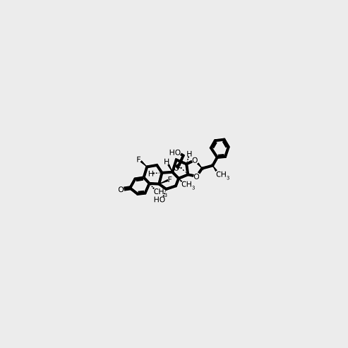 C[C@H](c1ccccc1)[C@@H]1O[C@@H]2C[C@H]3[C@@H]4C[C@H](F)C5=CC(=O)C=C[C@]5(C)[C@@]4(F)[C@@H](O)C[C@]3(C)[C@]2(C(=O)CO)O1